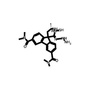 C[C@H](N)CC1(/C(=N/NN)NS)c2ccc(C(=O)N(C)C)cc2-c2cc(C(=O)N(C)C)ccc21